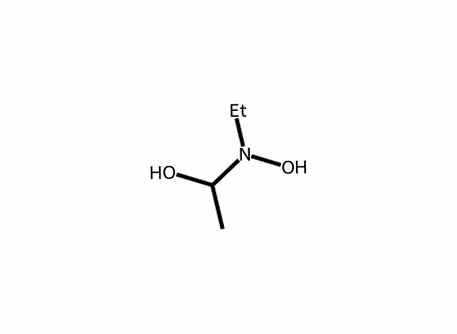 CCN(O)C(C)O